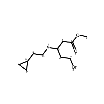 COC(=O)CC(CCBr)SCCC1CC1